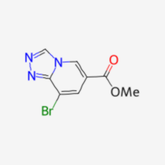 COC(=O)c1cc(Br)c2nncn2c1